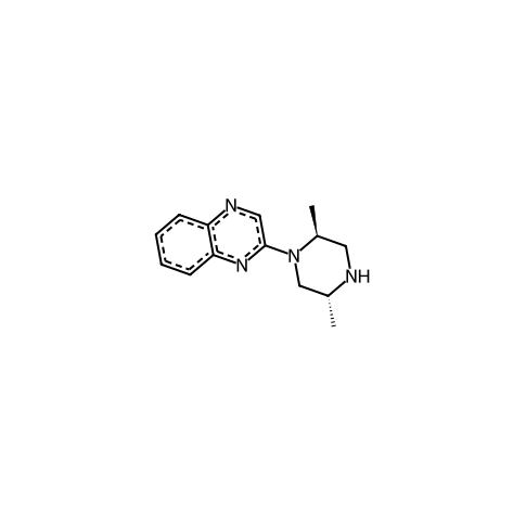 C[C@@H]1CN(c2cnc3ccccc3n2)[C@@H](C)CN1